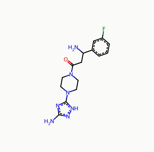 Nc1n[nH]c(N2CCN(C(=O)CC(N)c3cccc(F)c3)CC2)n1